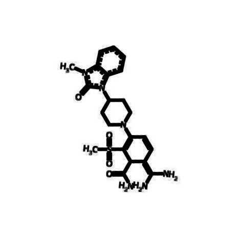 Cn1c(=O)n(C2CCN(C3=C(S(C)(=O)=O)C(C(N)=O)C(=C(N)N)C=C3)CC2)c2ccccc21